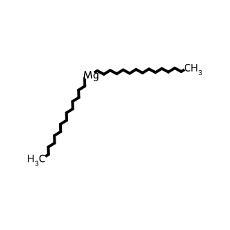 CCCCCCCCCCCCCC[CH2][Mg][CH2]CCCCCCCCCCCCCC